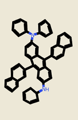 C1=CCC(Nc2ccc3c(-c4ccc5ccccc5c4)c4cc(N(c5ccccc5)c5ccccc5)ccc4c(-c4ccc5ccccc5c4)c3c2)C=C1